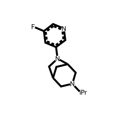 CC(C)N1CC2CC(C1)N(c1cncc(F)c1)C2